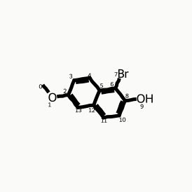 COc1ccc2c(Br)c(O)ccc2c1